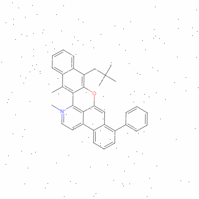 Cc1c2c(c(CC(C)(C)C)c3ccccc13)Oc1cc3c(-c4ccccc4)cccc3c3cc[n+](C)c-2c13